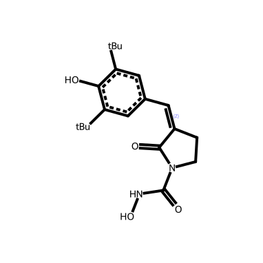 CC(C)(C)c1cc(/C=C2/CCN(C(=O)NO)C2=O)cc(C(C)(C)C)c1O